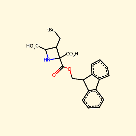 CC(C)(C)CC1C(C(=O)O)NC1(C(=O)O)C(=O)OCC1c2ccccc2-c2ccccc21